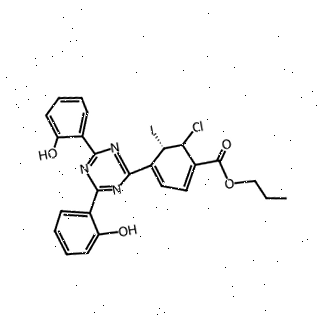 CCCOC(=O)C1=CC=C(c2nc(-c3ccccc3O)nc(-c3ccccc3O)n2)[C@H](I)C1Cl